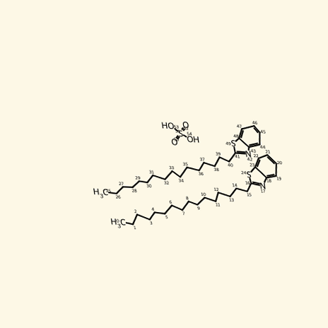 CCCCCCCCCCCCCCCCc1nc2ccccc2s1.CCCCCCCCCCCCCCCCc1nc2ccccc2s1.O=S(=O)(O)O